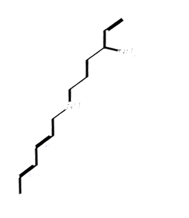 C=CC(N)CCCNC/C=C/C=C/C